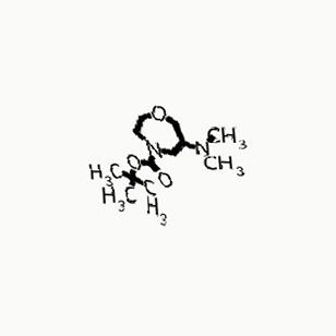 CN(C)C1COCCN(C(=O)OC(C)(C)C)C1